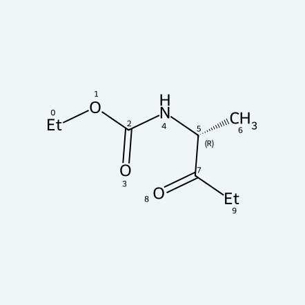 CCOC(=O)N[C@H](C)C(=O)CC